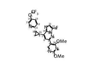 COc1ncc(-c2cc([C@H]3C[C@@H]3c3ccc(OC(F)(F)F)cn3)c3ncc(F)n3n2)c(OC)n1